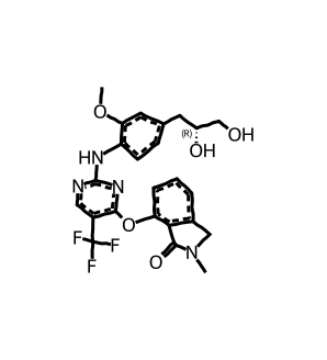 COc1cc(C[C@@H](O)CO)ccc1Nc1ncc(C(F)(F)F)c(Oc2cccc3c2C(=O)N(C)C3)n1